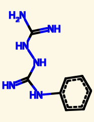 N=C(N)NNC(=N)Nc1ccccc1